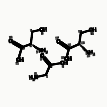 NCC(=O)O.N[C@@H](CO)C(=O)O.N[C@@H](CO)C(=O)O